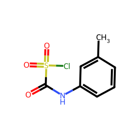 Cc1cccc(NC(=O)S(=O)(=O)Cl)c1